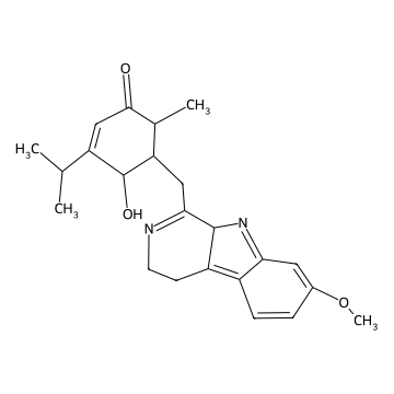 COc1ccc2c(c1)=NC1C(CC3C(C)C(=O)C=C(C(C)C)C3O)=NCCC=21